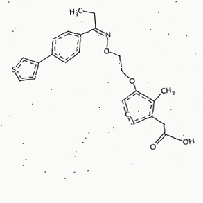 CCC(=NOCCOc1cccc(CC(=O)O)c1C)c1ccc(-c2ccsc2)cc1